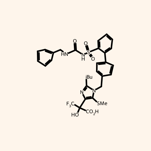 CCC(C)c1nc(C(O)(C(=O)O)C(F)(F)F)c(SC)n1Cc1ccc(-c2ccccc2S(=O)(=O)NC(=O)NCc2ccccc2)cc1